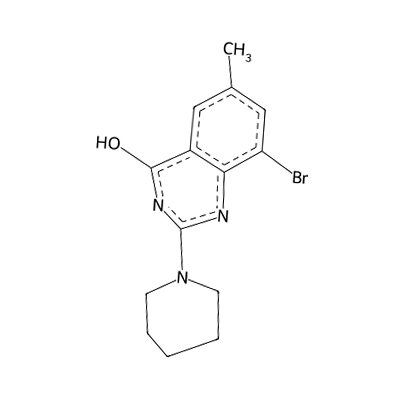 Cc1cc(Br)c2nc(N3CCCCC3)nc(O)c2c1